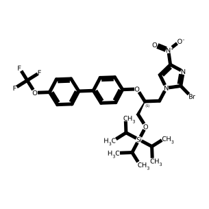 CC(C)[Si](OC[C@H](Cn1cc([N+](=O)[O-])nc1Br)Oc1ccc(-c2ccc(OC(F)(F)F)cc2)cc1)(C(C)C)C(C)C